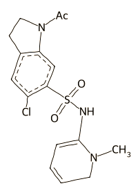 CC(=O)N1CCc2cc(Cl)c(S(=O)(=O)NC3=CC=CCN3C)cc21